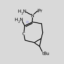 CC(C)N(N)/C1=C(\N)CCC2C(CC1)C2C(C)(C)C